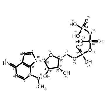 COn1cnc(=N)c2ncn([C@@H]3O[C@H](COP(=O)(O)OP(=O)(O)OP(=O)(O)O)[C@@H](O)[C@H]3O)c21